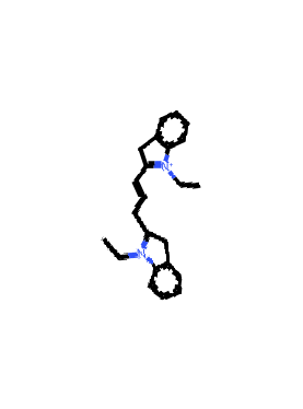 CCN1c2ccccc2CC1C/C=C/C1=[N+](CC)c2ccccc2C1